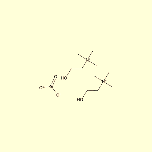 C[N+](C)(C)CCO.C[N+](C)(C)CCO.O=[Si]([O-])[O-]